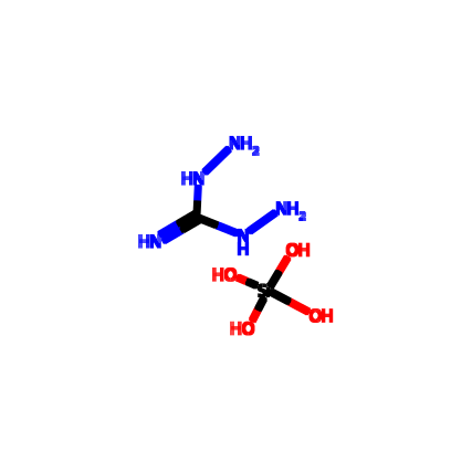 N=C(NN)NN.O[Si](O)(O)O